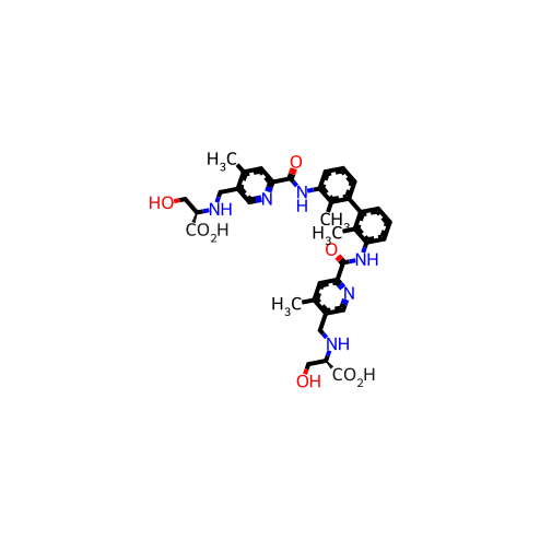 Cc1cc(C(=O)Nc2cccc(-c3cccc(NC(=O)c4cc(C)c(CN[C@H](CO)C(=O)O)cn4)c3C)c2C)ncc1CN[C@H](CO)C(=O)O